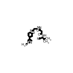 CC(C)C(C#N)NC(=O)Cc1nnc(CC2=NC3C=CC(c4cnn(C)c4)=CC3S2)o1